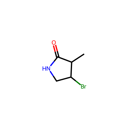 CC1C(=O)NCC1Br